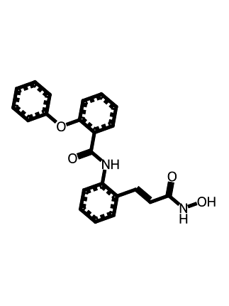 O=C(C=Cc1ccccc1NC(=O)c1ccccc1Oc1ccccc1)NO